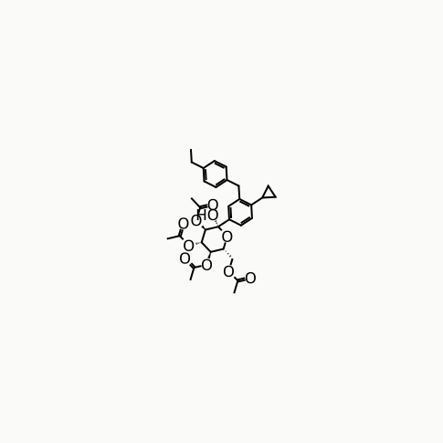 CCc1ccc(Cc2cc([C@@]3(O)O[C@H](COC(C)=O)[C@@H](OC(C)=O)[C@H](OC(C)=O)[C@H]3OC(C)=O)ccc2C2CC2)cc1